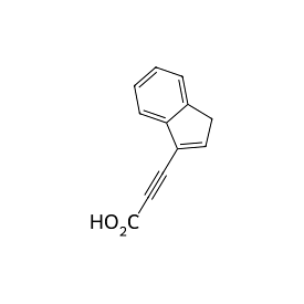 O=C(O)C#CC1=CCc2ccccc21